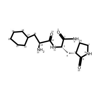 NC(=O)[C@H](C[C@@H]1CCNC1=O)NC(=O)[C@@H](N)CC1CCCCC1